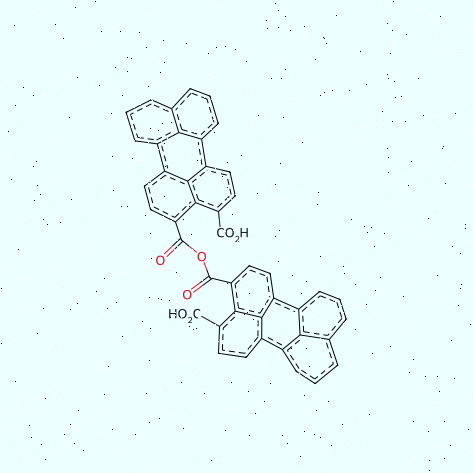 O=C(O)c1ccc2c3cccc4cccc(c5ccc(C(=O)OC(=O)c6ccc7c8cccc9cccc(c%10ccc(C(=O)O)c6c%107)c98)c1c25)c43